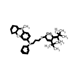 C/C(=C(O)\C(=C/C(C)SCCCN(c1cc#ccc1)c1ccc(N(C)C2=CC=CCC2C)cc1)C(C)(C)C)C(C)(C)C